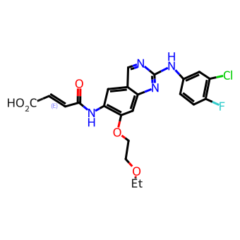 CCOCCOc1cc2nc(Nc3ccc(F)c(Cl)c3)ncc2cc1NC(=O)/C=C/C(=O)O